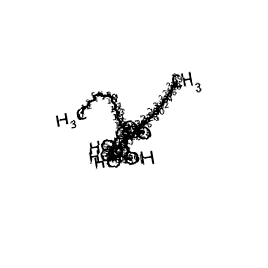 CCCCC/C=C\C/C=C\CCCCCCCC(=O)OC(COC(=O)CCCCCCCCCCCCCCC)COC1OC(CO)C(O)C(O)C1O